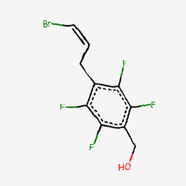 OCc1c(F)c(F)c(C/C=C\Br)c(F)c1F